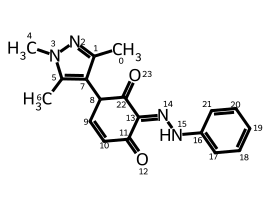 Cc1nn(C)c(C)c1C1C=CC(=O)C(=NNc2ccccc2)C1=O